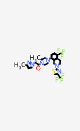 Cc1ccn(CC(=O)N2CCN(c3ccc(C(F)(F)F)c4c3CN(c3nc(C(F)(F)F)cs3)CC4)CC2C)n1